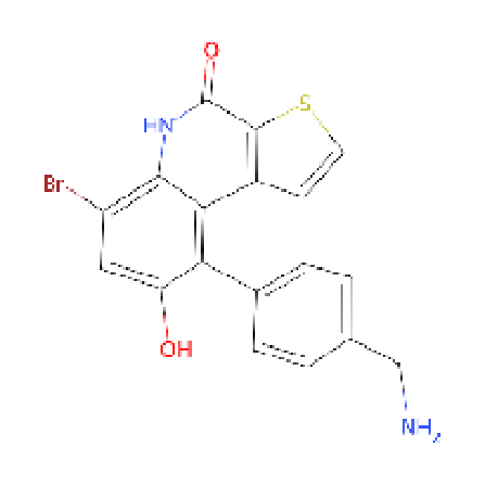 NCc1ccc(-c2c(O)cc(Br)c3[nH]c(=O)c4sccc4c23)cc1